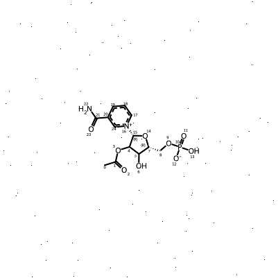 CC(=O)OC1C(O)[C@@H](COP(=O)([O-])O)O[C@H]1[n+]1cccc(C(N)=O)c1